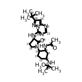 CC(=O)NC1CC(NC(C)(C)C)CCC1N1CC[C@H](Nc2ncnc3cc(C(C)(C)C)nn23)C1=O